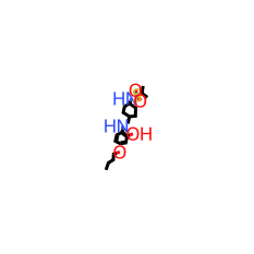 CCCCOc1ccc(NCC2CCC(NS(=O)(=O)C(C)C)CC2)c(O)c1